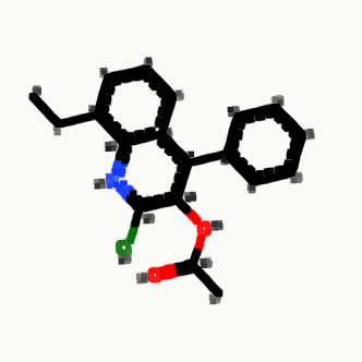 CCc1cccc2c(-c3ccccc3)c(OC(C)=O)c(Cl)nc12